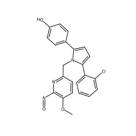 COc1ccc(Cn2c(-c3ccc(O)cc3)ccc2-c2ccccc2Cl)nc1N=O